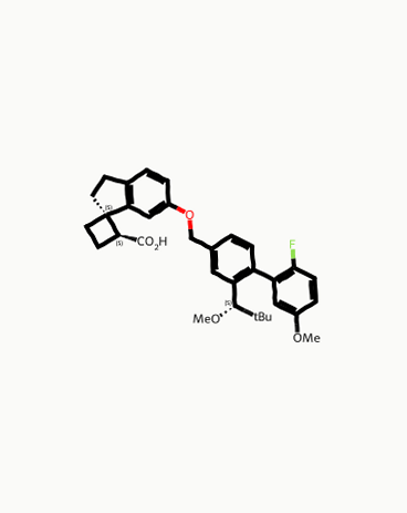 COc1ccc(F)c(-c2ccc(COc3ccc4c(c3)[C@]3(CC4)CC[C@@H]3C(=O)O)cc2[C@@H](OC)C(C)(C)C)c1